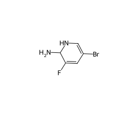 NC1NC=C(Br)C=C1F